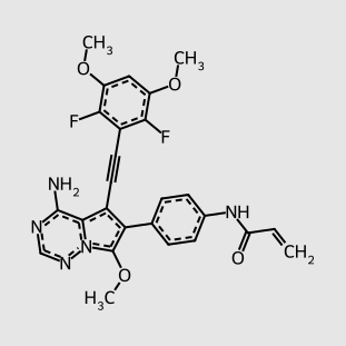 C=CC(=O)Nc1ccc(-c2c(C#Cc3c(F)c(OC)cc(OC)c3F)c3c(N)ncnn3c2OC)cc1